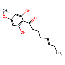 CCC=CCCCC(=O)c1c(O)cc(OC)cc1O